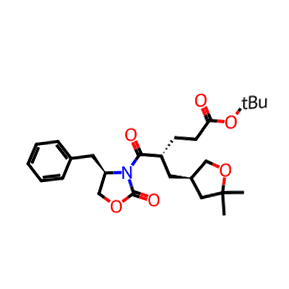 CC(C)(C)OC(=O)CC[C@H](C[C@H]1COC(C)(C)C1)C(=O)N1C(=O)OC[C@H]1Cc1ccccc1